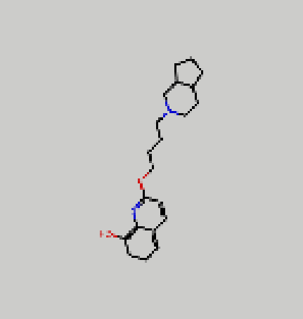 OC1=c2nc(OCCCCN3CCC4CCCC4C3)ccc2=CCC1